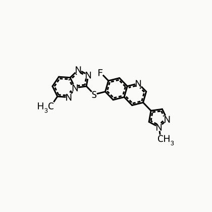 Cc1ccc2nnc(Sc3cc4cc(-c5cnn(C)c5)cnc4cc3F)n2n1